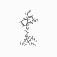 CC(C)(C)[Si](C)(C)OCCOc1ccnc2c(CBr)cc(Cl)nc12